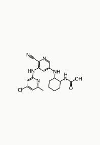 Cc1cc(Cl)cc(Nc2cc(NC3CCCCC3NC(=O)O)cnc2C#N)n1